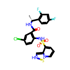 C[C@@H](NC(=O)c1cc(Cl)ccc1NS(=O)(=O)C1=CC=CN2SNC=C12)c1ccc(F)cc1F